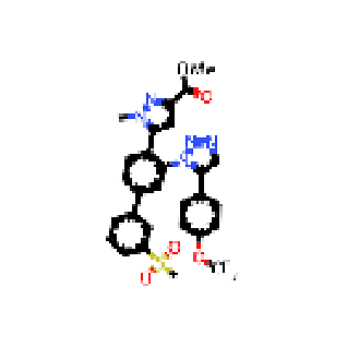 COC(=O)c1cc(-c2ccc(-c3cccc(S(C)(=O)=O)c3)cc2-n2nncc2-c2ccc(OC(F)(F)F)cc2)n(C)n1